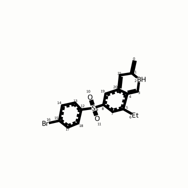 C=C1BC=c2c(CC)cc(S(=O)(=O)c3ccc(Br)cc3)cc2=C1